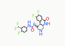 CN(C(=O)Nc1ccc(F)c(C(F)F)c1)[C@@H]1CNCc2[nH]c(=O)c3cc(F)c(F)cc3c21